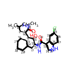 CNC(=O)[C@H](CC(C)C)C[C@H](O)[C@H](CC1CCCCC1)NC(=O)c1c[nH]c2ccc(Cl)cc12